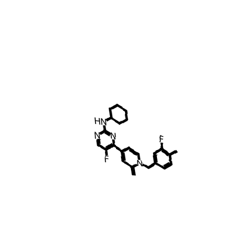 C=C1C=C(c2nc(NC3CCCCC3)ncc2F)C=CN1Cc1ccc(C)c(F)c1